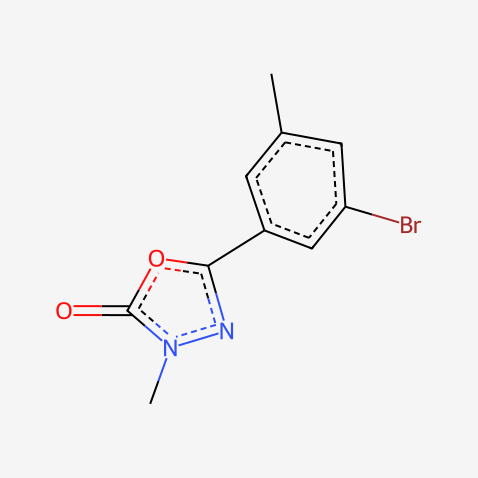 Cc1cc(Br)cc(-c2nn(C)c(=O)o2)c1